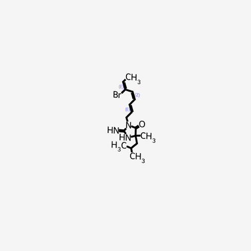 C\C=C(Br)/C=C\C=C\CN1C(=N)NC(C)(CC(C)C)C1=O